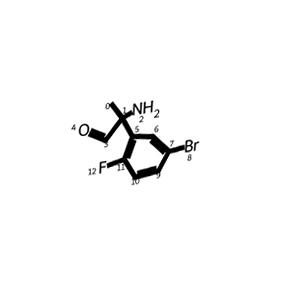 CC(N)(C=O)c1cc(Br)ccc1F